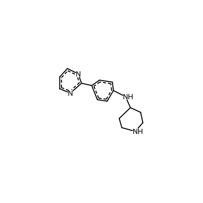 c1cnc(-c2ccc(NC3CCNCC3)cc2)nc1